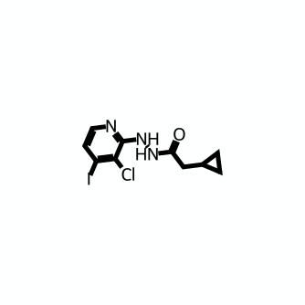 O=C(CC1CC1)NNc1nccc(I)c1Cl